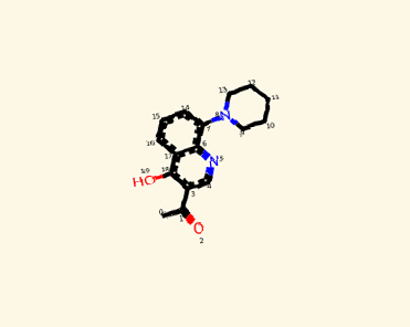 CC(=O)c1cnc2c(N3CCCCC3)cccc2c1O